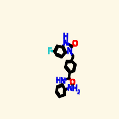 Nc1ccccc1NC(=O)c1ccc(Cn2c(=O)[nH]c3cc(F)ccc32)cc1